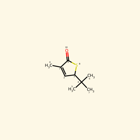 CC1=CC(C(C)(C)C)SC1=O